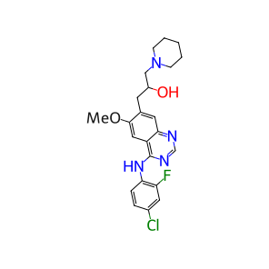 COc1cc2c(Nc3ccc(Cl)cc3F)ncnc2cc1CC(O)CN1CCCCC1